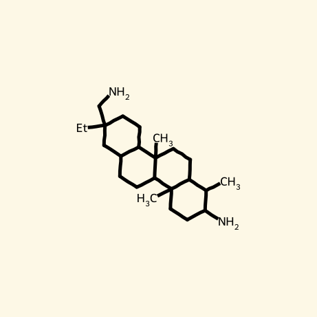 CCC1(CN)CCC2C(CCC3C2(C)CCC2C(C)C(N)CCC23C)C1